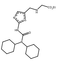 CCOC(=O)CNCc1cnc(NC(=O)N(C2CCCCC2)C2CCCCC2)s1